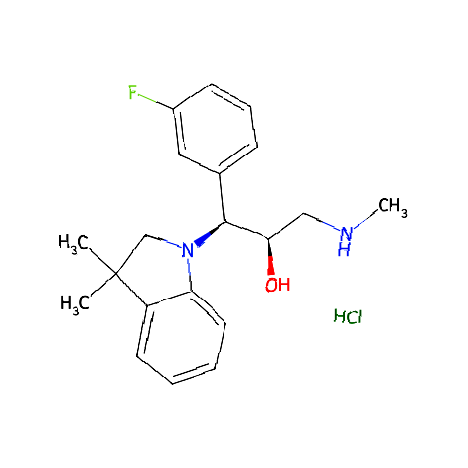 CNC[C@@H](O)[C@H](c1cccc(F)c1)N1CC(C)(C)c2ccccc21.Cl